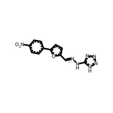 O=[N+]([O-])c1ccc(-c2ccc(/C=N/Nc3nnn[nH]3)o2)cc1